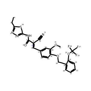 CCc1nnc(NC(=O)/C(C#N)=C/c2ccc(OCc3ccccc3OC(F)(F)F)c(OC)c2)s1